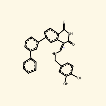 O=C1NC(=O)c2ccc(-c3cccc(-c4ccccc4)c3)cc2/C1=C\NCc1ccc(O)c(O)c1